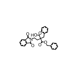 O=C1c2ccccc2C(=O)N1CCC(Cc1ccccc1)(C(=O)O)C(=O)OCc1ccccc1